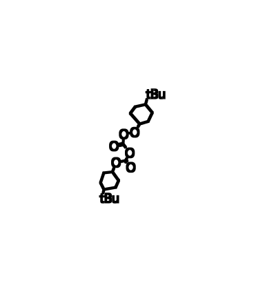 CC(C)(C)C1CCC(OOC(=O)OC(=O)OC2CCC(C(C)(C)C)CC2)CC1